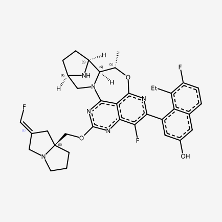 CCc1c(F)ccc2cc(O)cc(-c3nc4c5c(nc(OC[C@@]67CCCN6C/C(=C/F)C7)nc5c3F)N3C[C@H]5CC[C@H](N5)[C@H]3[C@H](C)O4)c12